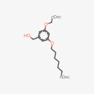 CCCCCCCCCCCCCCCCOc1cc(CO)cc(OCCCCCCCCCCC)c1